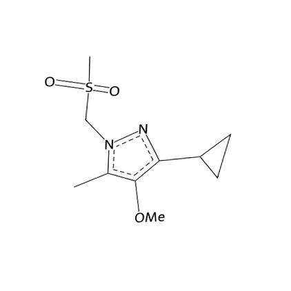 COc1c(C2CC2)nn(CS(C)(=O)=O)c1C